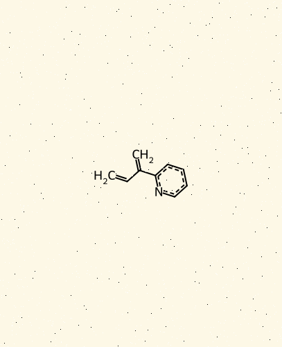 C=CC(=C)c1ccccn1